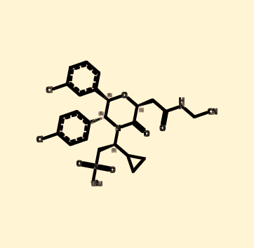 CC(C)(C)S(=O)(=O)C[C@H](C1CC1)N1C(=O)[C@H](CC(=O)NCC#N)O[C@H](c2cccc(Cl)c2)[C@H]1c1ccc(Cl)cc1